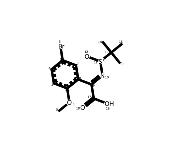 COc1ccc(Br)cc1/C(=N\[S+]([O-])C(C)(C)C)C(=O)O